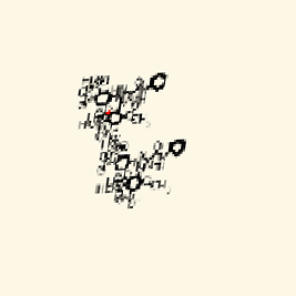 COc1cc([N+](=O)[O-])c(S(=O)(=O)O)cc1N1N=C(C(=O)Nc2ccccc2)NN1c1cc(S(=O)(=O)O)c([N+](=O)[O-])cc1OC.COc1cc([N+](=O)[O-])c(S(=O)(=O)O)cc1N1NC(C(=O)Nc2ccccc2)=[N+]([O-])N1c1cc(S(=O)(=O)O)c([N+](=O)[O-])cc1OC